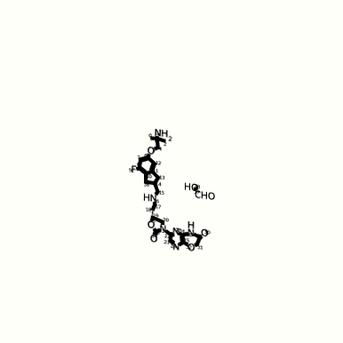 CC(C)(N)COc1cc(F)c2c(c1)CC(CNCC[C@@H]1CN(c3cnc4c(n3)NC(=O)CO4)C(=O)O1)C2.O=CO